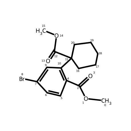 COC(=O)c1ccc(Br)cc1C1(C(=O)OC)CCCCC1